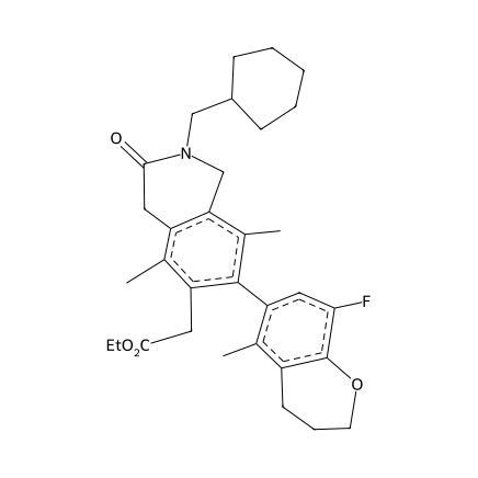 CCOC(=O)Cc1c(C)c2c(c(C)c1-c1cc(F)c3c(c1C)CCCO3)CN(CC1CCCCC1)C(=O)C2